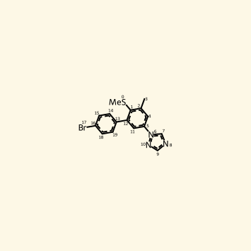 CSc1c(C)cc(-n2cncn2)cc1-c1ccc(Br)cc1